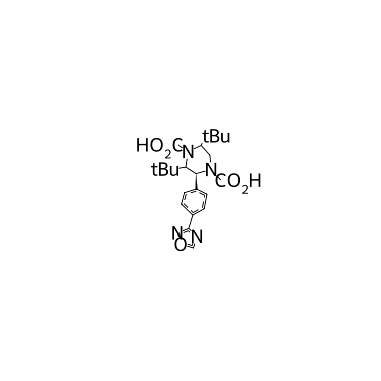 CC(C)(C)C1CN(C(=O)O)[C@@H](c2ccc(-c3ncon3)cc2)C(C(C)(C)C)N1C(=O)O